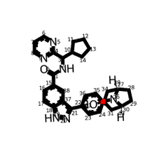 O=C(NC(c1ncccn1)C1CCCC1)c1ccc2[nH]nc(-c3ccc(N4[C@@H]5CC[C@H]4C[C@@H](O)C5)cc3)c2c1